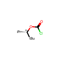 CC(C)[C@H](OC(=O)Cl)C(C)(C)C